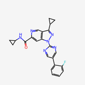 O=C(NC1CC1)c1cc2c(cn1)c(C1CC1)nn2-c1ncc(-c2ccccc2F)cn1